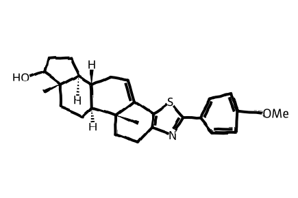 COc1ccc(-c2nc3c(s2)C2=CC[C@@H]4[C@H](CC[C@]5(C)C(O)CC[C@@H]45)[C@@]2(C)CC3)cc1